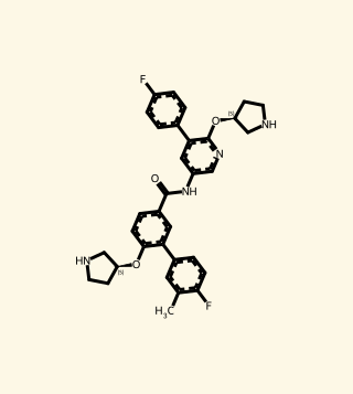 Cc1cc(-c2cc(C(=O)Nc3cnc(O[C@H]4CCNC4)c(-c4ccc(F)cc4)c3)ccc2O[C@H]2CCNC2)ccc1F